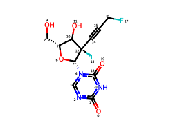 O=c1ncn([C@@H]2O[C@H](CO)C(O)[C@]2(F)C#CCF)c(=O)[nH]1